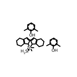 CC1=CC2=C(CCCC2)[CH]1[Zr]([CH3])([CH3])(=[SiH2])[CH]1C(C)=CC2=C1CCCC2.Cc1cccc(C)c1O.Cc1cccc(C)c1O